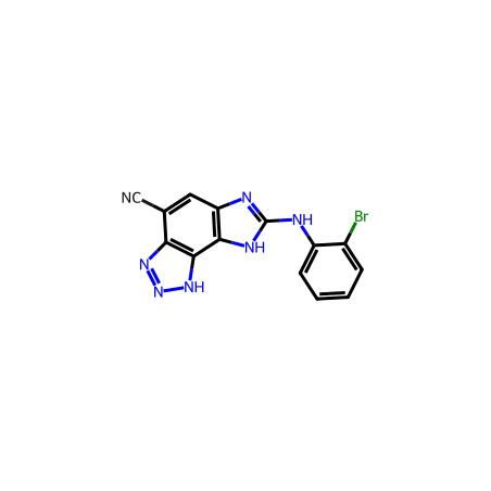 N#Cc1cc2nc(Nc3ccccc3Br)[nH]c2c2[nH]nnc12